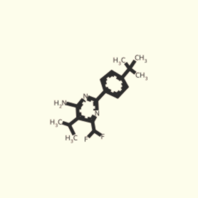 CC(C)c1c(N)nc(-c2ccc(C(C)(C)C)cc2)nc1C(F)F